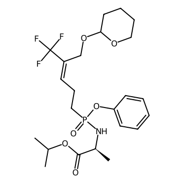 CC(C)OC(=O)[C@H](C)NP(=O)(CCC=C(COC1CCCCO1)C(F)(F)F)Oc1ccccc1